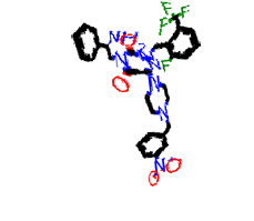 N[C@@H](Cn1c(=O)c(N2CCN(Cc3cccc([N+](=O)[O-])c3)CC2)nn(Cc2c(F)cccc2C(F)(F)F)c1=O)c1ccccc1